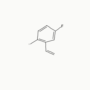 [CH]c1ccc(F)cc1C=C